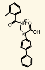 Cc1ccccc1C(=O)[NH+]([O-])C[C@H](C(=O)O)c1ccc(-c2ccccc2)cc1